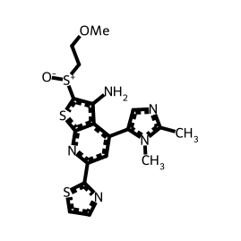 COCC[S+]([O-])c1sc2nc(-c3nccs3)cc(-c3cnc(C)n3C)c2c1N